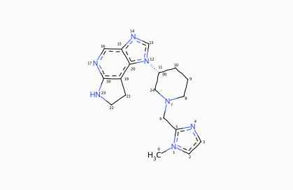 Cn1ccnc1CN1CCC[C@@H](n2cnc3cnc4c(c32)CCN4)C1